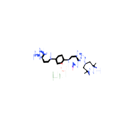 CC1(C)CC(n2nnc3cc(-c4ccc(-c5ccc6[nH]nnc6n5)cc4O)nnc32)CC(C)(C)N1.Cl.Cl